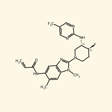 C=CC(=O)Nc1cc2nc(N3CC[C@H](F)[C@@H](Nc4ncc(C(F)(F)F)cn4)C3)n(C)c2cc1C